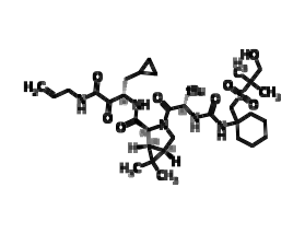 C=CCNC(=O)C(=O)[C@H](CC1CC1)NC(=O)[C@@H]1[C@@H]2[C@H](CN1C(=O)[C@@H](NC(=O)NC1(CS(=O)(=O)C(C)(C)CO)CCCCC1)C(C)(C)C)C2(C)C